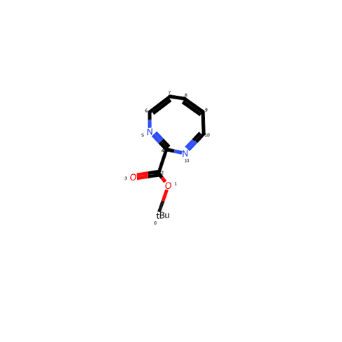 CC(C)(C)OC(=O)C1=NC=CC=CC=N1